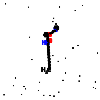 CCCCCCCCCCCCCCCCCCNC(=O)CCc1ccccc1OCCCCN1CCCCC1